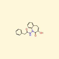 O=C(Cc1ccccc1)NN1C(=O)C(O)=CCc2ccccc21